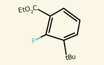 CCOC(=O)c1cccc(C(C)(C)C)c1F